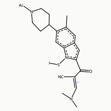 CC(=O)N1CCC(c2cc3c(cc2C)cc(C(=O)/C(C#N)=C/N(C)C)n3SI)CC1